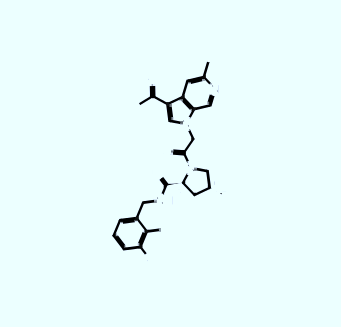 CC(=O)c1cn(CC(=O)N2C[C@H](F)C[C@H]2C(=O)NCc2cccc(Cl)c2F)c2cnc(C)cc12